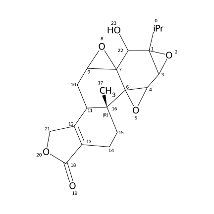 CC(C)C12OC1C1OC13C1(OC1CC1C4=C(CC[C@]13C)C(=O)OC4)C2O